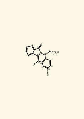 C=c1c2ccccc2c2n1C(CC(=O)O)c1ccc(F)cc1C=2F